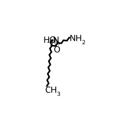 CCCCCCCCCCCCCCC([C]=O)C(=O)[C@@H](N)CCCCN